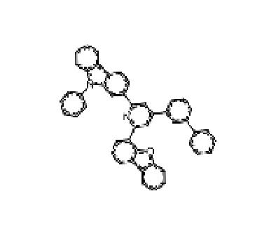 c1ccc(-c2cccc(-c3cc(-c4ccc5c6ccccc6n(-c6ccccc6)c5c4)nc(-c4cccc5c4oc4ccccc45)c3)c2)cc1